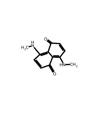 CNC1=C2C(=O)C=CC(NC)=C2C(=O)C=C1